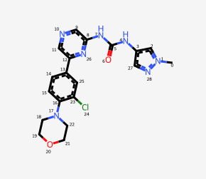 Cn1cc(NC(=O)Nc2cncc(-c3ccc(N4CCOCC4)c(Cl)c3)n2)cn1